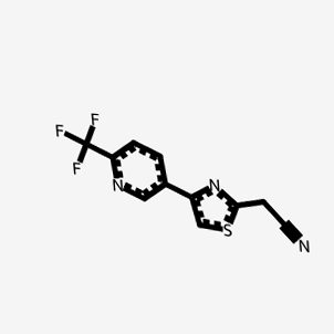 N#CCc1nc(-c2ccc(C(F)(F)F)nc2)cs1